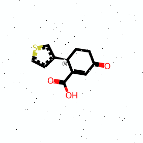 O=C1C=C(C(=O)O)[C@@H](c2ccsc2)CC1